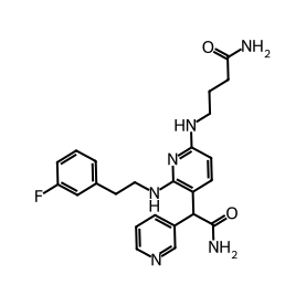 NC(=O)CCCNc1ccc(C(C(N)=O)c2cccnc2)c(NCCc2cccc(F)c2)n1